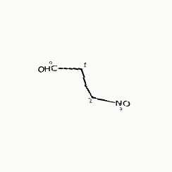 O=CCCN=O